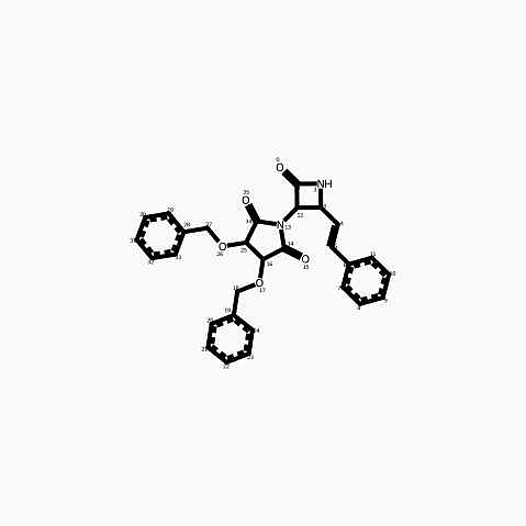 O=C1NC(/C=C/c2ccccc2)C1N1C(=O)C(OCc2ccccc2)C(OCc2ccccc2)C1=O